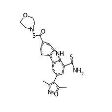 Cc1noc(C)c1-c1cc(C(N)=S)c2[nH]c3cc(C(=O)SN4CCOCC4)ccc3c2c1